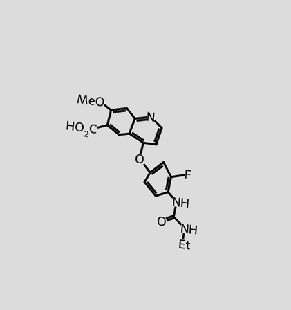 CCNC(=O)Nc1ccc(Oc2ccnc3cc(OC)c(C(=O)O)cc23)cc1F